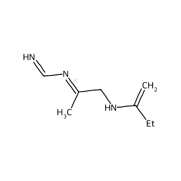 C=C(CC)NC/C(C)=N/C=N